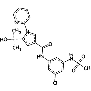 CC(C)(O)c1cc(C(=O)Nc2cc(Cl)cc(NS(C)(=O)=O)c2)cn1-c1ccccn1